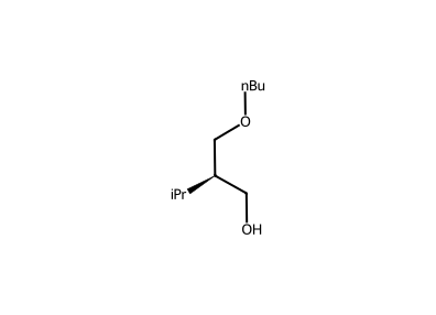 CCCCOC[C@@H](CO)C(C)C